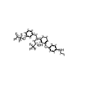 CCNc1ccc(OC2=CCCC(N(Cc3cccc(OC(F)(F)C(F)F)c3)C[C@H](O)C(F)(F)F)=C2)cc1